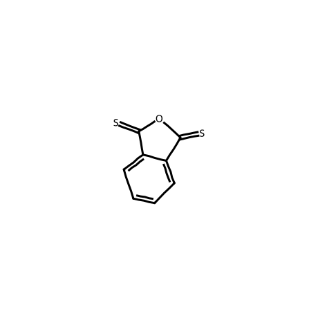 S=C1OC(=S)c2ccccc21